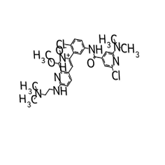 COC1c2nc(NCCN(C)C)ccc2C=C(c2cc(NC(=O)c3cc(Cl)nc(N(C)C)c3)ccc2Cl)[NH+]1[O-]